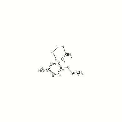 C1CC[SiH2]OC1.C=CCc1ccc(O)cc1